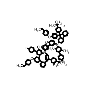 C=CC1=CCC(Oc2ccc(C3(C4=CC=C(C(C)(C)C)CC4)C4CCC=CC4C4C=CC(N(C5=CC6c7cc(N8C9=CC(C)C(C%10=CCC(F)CC%10)CC9C9=C(CCC(OC%10C=CC(C=C)=CC%10)C9)C9C=CC=CC9C9=C(C%10CC=C(C(C)(C)C)CC%10)CC8C=C9)ccc7OC6C=C5)C5CC(C)=C(C6=CC=C(F)CC6)CC5C)CC43)cc2)C=C1